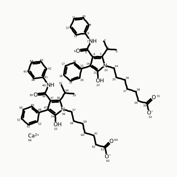 CC(C)c1c(C(=O)Nc2ccccc2)c(-c2ccccc2)c(O)n1CCCCCCC(=O)[O-].CC(C)c1c(C(=O)Nc2ccccc2)c(-c2ccccc2)c(O)n1CCCCCCC(=O)[O-].[Ca+2]